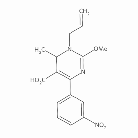 C=CCN1C(OC)=NC(c2cccc([N+](=O)[O-])c2)=C(C(=O)O)C1C